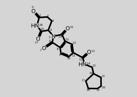 O=C1CCC(N2C(=O)c3ccc(C(=O)NCC4CCCCC4)cc3C2=O)C(=O)N1